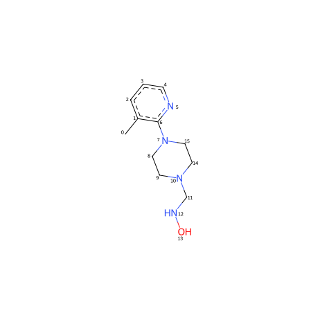 Cc1cccnc1N1CCN(CNO)CC1